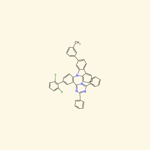 Cc1cccc(-c2ccc3c4ccccc4n(-c4ccc(-c5c(F)cccc5F)cc4-c4nc(-c5ccccc5)nc(-c5ccccc5)n4)c3c2)c1